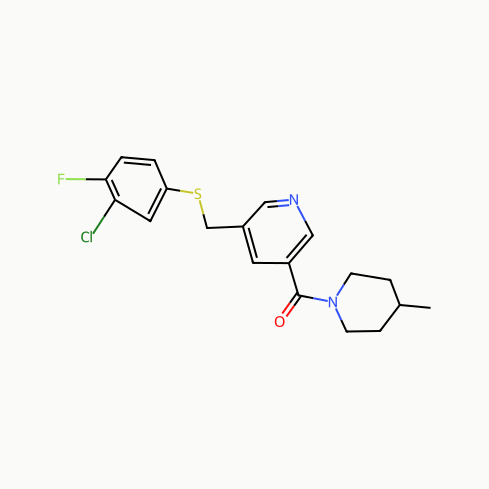 CC1CCN(C(=O)c2cncc(CSc3ccc(F)c(Cl)c3)c2)CC1